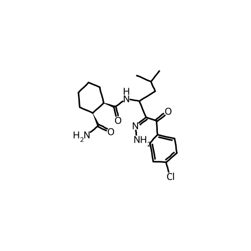 CC(C)CC(NC(=O)[C@@H]1CCCC[C@@H]1C(N)=O)C(=NN)C(=O)c1ccc(Cl)cc1